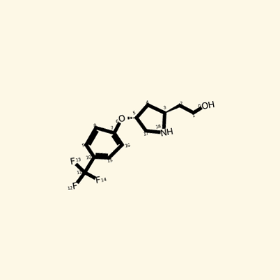 OCC[C@@H]1C[C@@H](Oc2ccc(C(F)(F)F)cc2)CN1